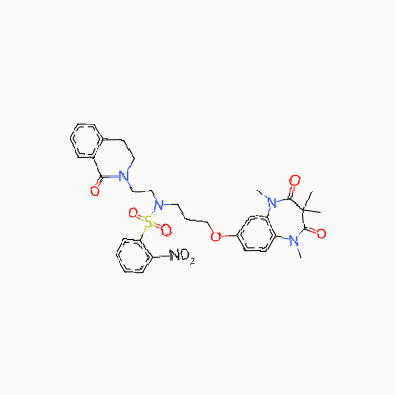 CN1C(=O)C(C)(C)C(=O)N(C)c2cc(OCCCN(CCN3CCc4ccccc4C3=O)S(=O)(=O)c3ccccc3[N+](=O)[O-])ccc21